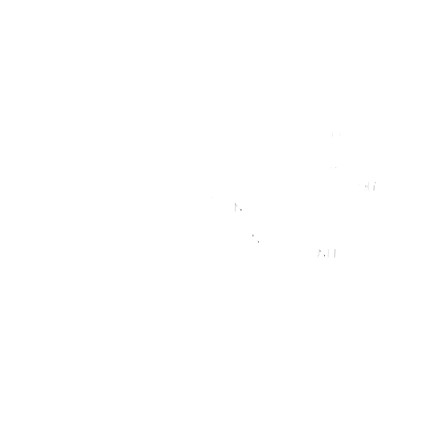 CCS(=O)(=O)c1cc(C(F)(F)F)ccc1-n1cc(C(=O)O)c(N)n1